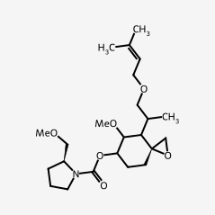 COC[C@@H]1CCCN1C(=O)OC1CC[C@]2(CO2)C(C(C)COCC=C(C)C)C1OC